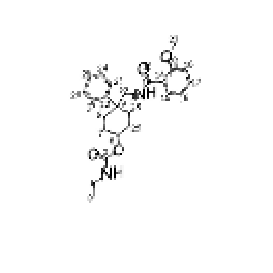 CCNC(=O)OC1CCC(CNC(=O)c2ccccc2OC)(c2ccccc2)CC1